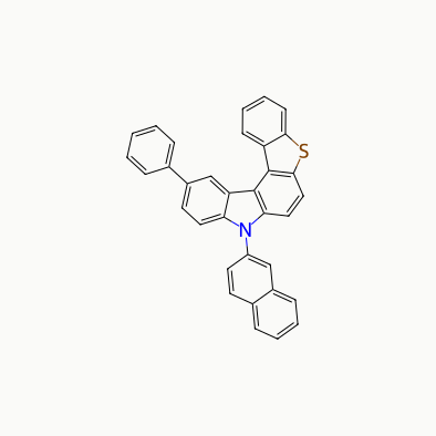 c1ccc(-c2ccc3c(c2)c2c4c(ccc2n3-c2ccc3ccccc3c2)sc2ccccc24)cc1